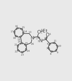 CCOC(=NC(=O)c1ccccc1)N1Cc2ccccc2-c2ccccc2C1